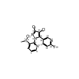 C[S+]([O-])c1cccnc1-n1nc([O])c(Cl)c1-c1ccc(F)nc1